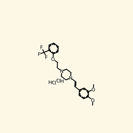 COc1ccc(C=CN2CCN(CCOc3ccccc3C(F)(F)F)CC2)cc1OC.Cl.Cl